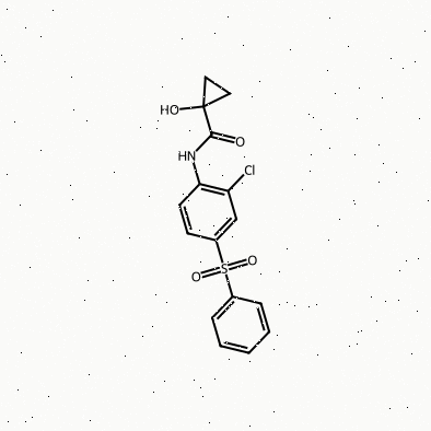 O=C(Nc1ccc(S(=O)(=O)c2ccccc2)cc1Cl)C1(O)CC1